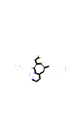 COC1=c2ncccc2=CC(=CC(=O)O)c2sc(Cl)cc21